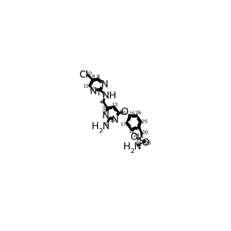 Nc1nc(CNc2ncc(Cl)cn2)cc(Oc2ccc(CS(N)(=O)=O)cc2)n1